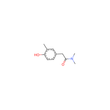 Cc1cc(CC(=O)N(C)C)ccc1O